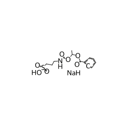 CC(OC(=O)NCCCS(=O)(=O)O)OC(=O)c1ccccc1.[NaH]